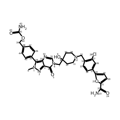 Cn1nc2c(=O)n(CC3(O)CCN(Cc4ccc(-c5ccc(C(N)=O)o5)cc4Cl)CC3)cnc2c1-c1ccc(COC(N)=O)cc1